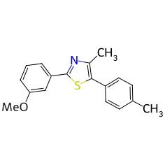 COc1cccc(-c2nc(C)c(-c3ccc(C)cc3)s2)c1